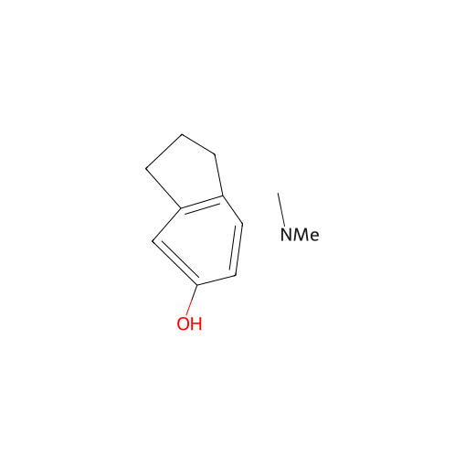 CNC.Oc1ccc2c(c1)CCC2